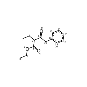 CCOC(=O)C(CC)C(=O)Cc1ccccn1